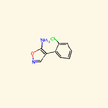 Nc1oncc1-c1ccccc1Cl